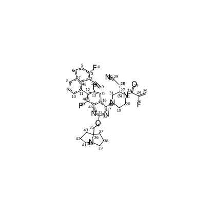 C#Cc1c(F)ccc2cccc(-c3c(F)cc4c(N5CCN(C(=O)C(=C)F)[C@@H](CC#N)C5)nc(OCC56CCCN5CCC6)nc4c3F)c12